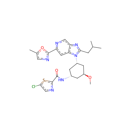 CO[C@H]1C[C@H](NC(=O)c2ncc(Cl)s2)C[C@H](n2c(CC(C)C)nc3cnc(-c4ncc(C)o4)cc32)C1